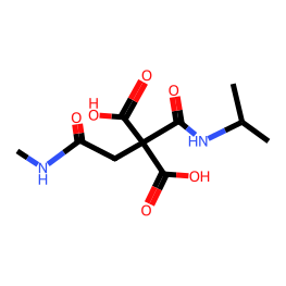 CNC(=O)CC(C(=O)O)(C(=O)O)C(=O)NC(C)C